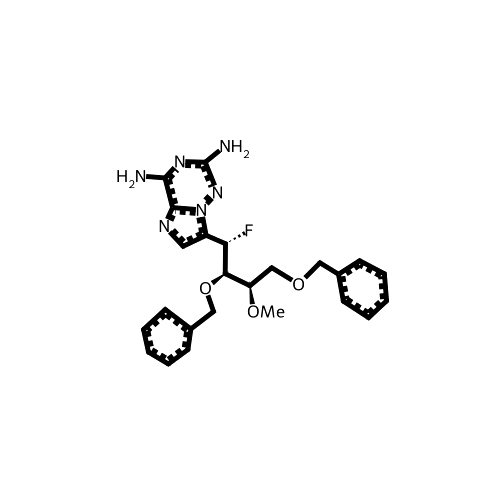 CO[C@H](COCc1ccccc1)[C@@H](OCc1ccccc1)[C@@H](F)c1cnc2c(N)nc(N)nn12